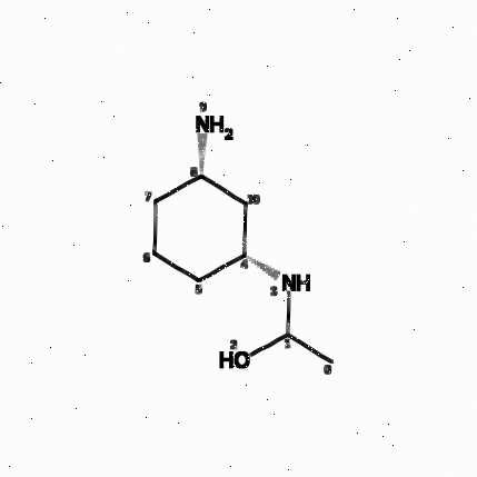 CC(O)N[C@@H]1CCC[C@H](N)C1